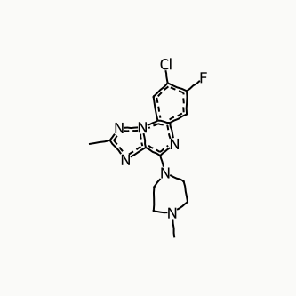 Cc1nc2c(N3CCN(C)CC3)nc3cc(F)c(Cl)cc3n2n1